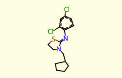 Clc1ccc(/N=C2\SCCN2CC2CCCC2)c(Cl)c1